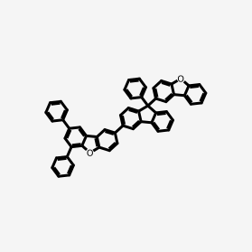 c1ccc(-c2cc(-c3ccccc3)c3oc4ccc(-c5ccc6c(c5)-c5ccccc5C6(c5ccccc5)c5ccc6oc7ccccc7c6c5)cc4c3c2)cc1